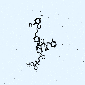 Cc1ccccc1CN(C(=O)C1=C(c2ccc(CCCOc3cc(F)ccc3Br)cc2)CC2CN(C(=O)CCC(C)(C)C(=O)O)CC1N2)C1CC1